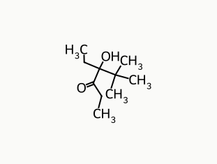 CCC(=O)C(O)(CC)C(C)(C)C